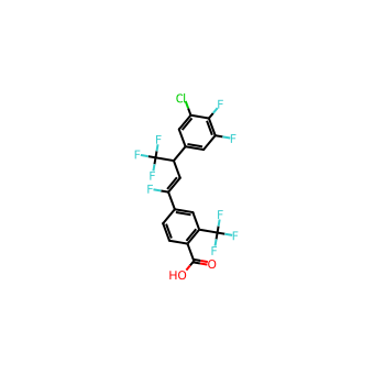 O=C(O)c1ccc(C(F)=CC(c2cc(F)c(F)c(Cl)c2)C(F)(F)F)cc1C(F)(F)F